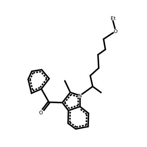 CCOCCCCCC(C)n1c(C)c(C(=O)c2ccccc2)c2ccccc21